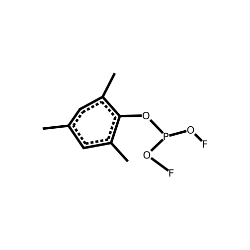 Cc1cc(C)c(OP(OF)OF)c(C)c1